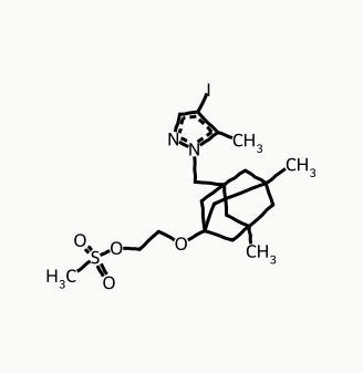 Cc1c(I)cnn1CC12CC3(C)CC(C)(C1)CC(OCCOS(C)(=O)=O)(C3)C2